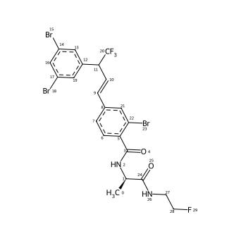 C[C@@H](NC(=O)c1ccc(/C=C/C(c2cc(Br)cc(Br)c2)C(F)(F)F)cc1Br)C(=O)NCCF